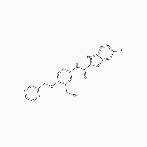 O=C(Nc1ccc(OCc2ccccc2)c(CO)c1)c1cc2cc(F)ccc2[nH]1